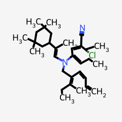 C=C/C=C\C(CN(/C=C(\C)C1CC(C)(C)CC(C)(C)C1)C(/C=C(/C#N)C(C)Cl)=C/CC)=C(/C)CC